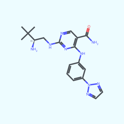 CC(C)(C)[C@H](N)CNc1ncc(C(N)=O)c(Nc2cccc(-n3nccn3)c2)n1